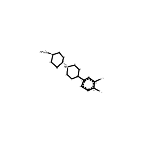 CCCCC[C@H]1CC[C@H]([SiH]2CCC(c3ccc(F)c(F)c3)CC2)CC1